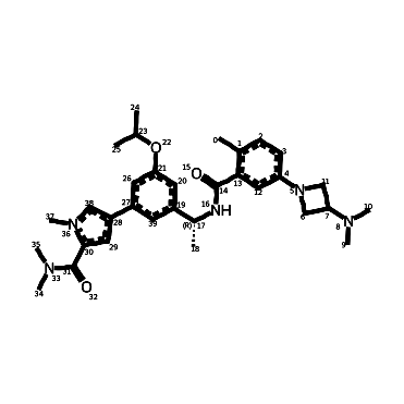 Cc1ccc(N2CC(N(C)C)C2)cc1C(=O)N[C@H](C)c1cc(OC(C)C)cc(-c2cc(C(=O)N(C)C)n(C)c2)c1